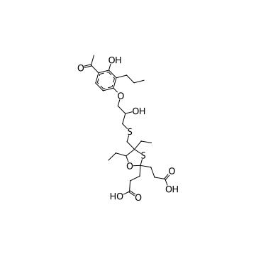 CCCc1c(OCC(O)CSCC2(CC)SC(CCC(=O)O)(CCC(=O)O)OC2CC)ccc(C(C)=O)c1O